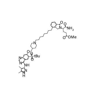 COC(=O)CCC(C(N)=O)N1Cc2c(CCCCCCCCN3CCC(COc4cc5ncnc(Nc6n[nH]c(C)c6C)c5cc4S(=O)(=O)C(C)(C)C)CC3)cccc2C1=O